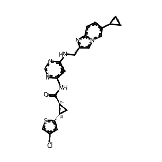 O=C(Nc1cc(NCc2cn3cc(C4CC4)ccc3n2)ncn1)[C@H]1C[C@@H]1c1cc(Cl)cs1